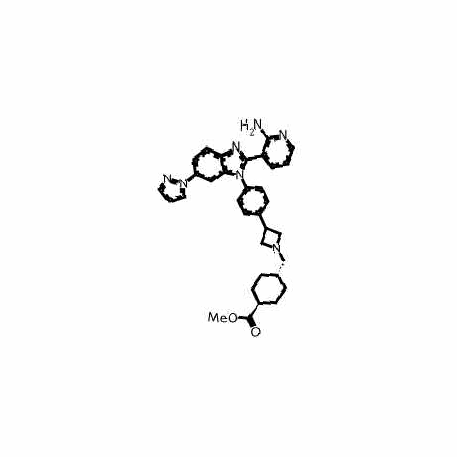 COC(=O)[C@H]1CC[C@H](CN2CC(c3ccc(-n4c(-c5cccnc5N)nc5ccc(-n6cccn6)cc54)cc3)C2)CC1